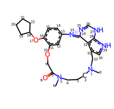 CN1CCCN(C)C(=O)COc2cc(ccc2OC2CCCC2)/N=C2/N=CNc3[nH]cc(c32)C1